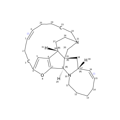 C1=C\CCc2cc3c(o2)[C@@H]2N4CCCC/C=C\[C@H]4C[C@@]24CN(CCCC/1)CC[C@@H]34